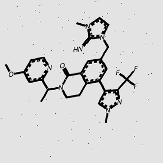 COc1ccnc(C(C)N2CCc3c(cc(Cn4ccn(C)c4=N)cc3-c3cn(C)nc3C(F)(F)F)C2=O)c1